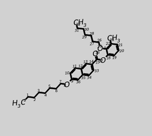 CCCCCCCCOc1ccc2cc(C(=O)Oc3cccc(C)c3OCCCCCCC)ccc2c1